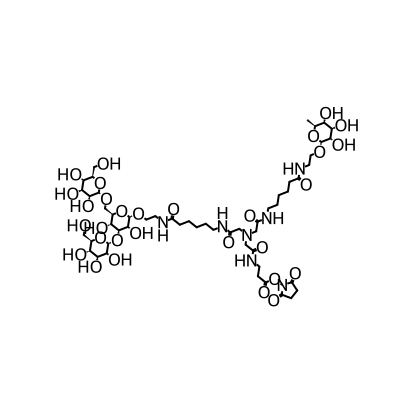 C[C@@H]1O[C@@H](OCCNC(=O)CCCCCNC(=O)CN(CC(=O)NCCCCCC(=O)NCCO[C@H]2O[C@H](CO[C@H]3O[C@H](CO)[C@@H](O)[C@H](O)[C@@H]3O)[C@@H](O)[C@H](O[C@H]3O[C@H](CO)[C@@H](O)[C@H](O)[C@@H]3O)[C@@H]2O)CC(=O)NCCC(=O)ON2C(=O)CCC2=O)[C@@H](O)[C@H](O)[C@@H]1O